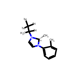 [2H]C([2H])([2H])C([2H])(C)N1C=CN(c2ccccc2C)[C@H]1C